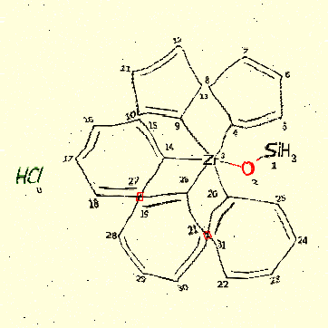 Cl.[SiH3][O][Zr]([C]1=CC=CC1)([C]1=CC=CC1)([c]1ccccc1)([c]1ccccc1)[c]1ccccc1